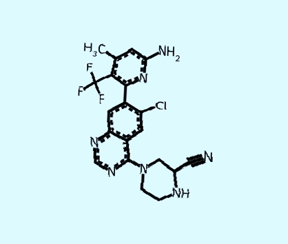 Cc1cc(N)nc(-c2cc3ncnc(N4CCNC(C#N)C4)c3cc2Cl)c1C(F)(F)F